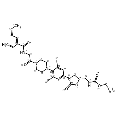 C=C/C(=C\C=C/C)C(=O)NCC(=O)N1CCN(c2c(F)cc(N3C[C@H](CNC(=O)OCC)OC3=O)cc2F)CC1